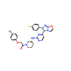 O=C(COc1ccc(Cl)cc1)N1CCC[C@@H](Nc2nccc(C3C(c4ccc(F)cc4)N=C4OC=CN43)n2)C1